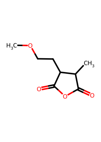 COCCC1C(=O)OC(=O)C1C